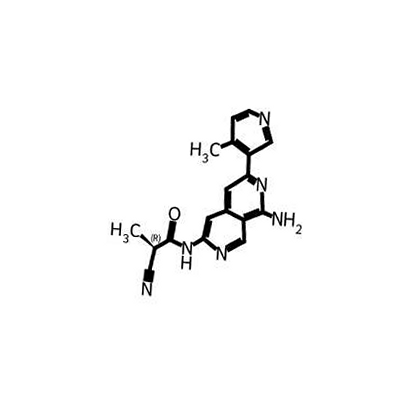 Cc1ccncc1-c1cc2cc(NC(=O)[C@H](C)C#N)ncc2c(N)n1